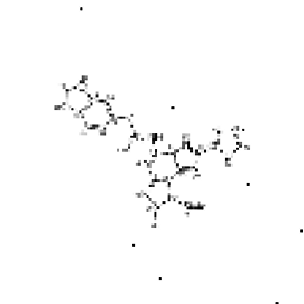 CSc1c2c(nc(NC(=O)Cc3ccc4c(c3)OCO4)n3nc(-c4ccco4)nc23)nn1C